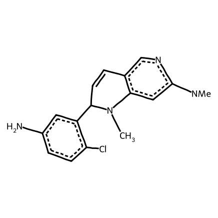 CNc1cc2c(cn1)C=CC(c1cc(N)ccc1Cl)N2C